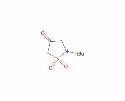 CC(C)(C)N1CC(=O)CS1(=O)=O